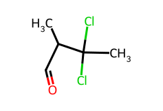 CC(C=O)C(C)(Cl)Cl